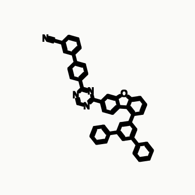 N#Cc1cccc(-c2ccc(-c3ncnc(-c4ccc5c(c4)oc4cccc(-c6cc(-c7ccccc7)cc(-c7ccccc7)c6)c45)n3)cc2)c1